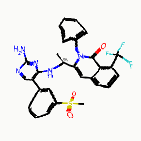 C[C@H](Nc1nc(N)ncc1-c1cccc(S(C)(=O)=O)c1)c1cc2cccc(C(F)(F)F)c2c(=O)n1-c1ccccc1